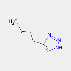 C[CH]CCc1c[nH]nn1